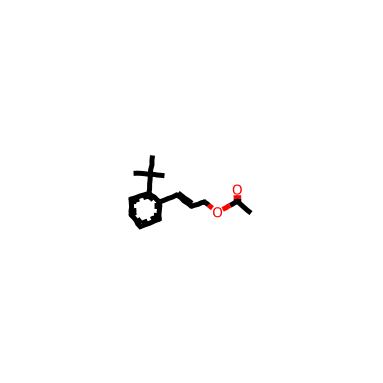 CC(=O)OCC=Cc1ccccc1C(C)(C)C